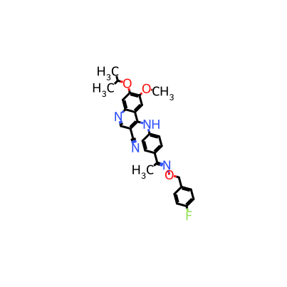 COc1cc2c(Nc3ccc(/C(C)=N/OCc4ccc(F)cc4)cc3)c(C#N)cnc2cc1OC(C)C